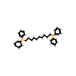 c1ccc(P(CCCCCCCCCCP(c2ccccc2)c2ccccc2)c2ccccc2)cc1